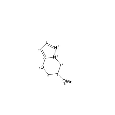 CO[C@@H]1COc2ccnn2C1